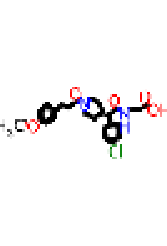 CCOc1ccc(CCC(=O)N2CCC([C@H](C(=O)NCCC(=O)O)c3ccc(Cl)cc3)CC2)cc1